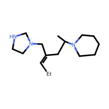 CC/C=C(\CC(C)N1CCCCC1)CN1CCNC1